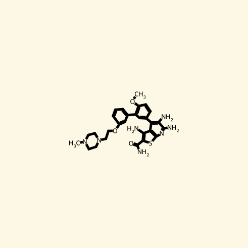 COc1ccc(-c2c(N)c(N)nc3sc(C(N)=O)c(N)c23)cc1-c1cccc(OCCN2CCN(C)CC2)c1